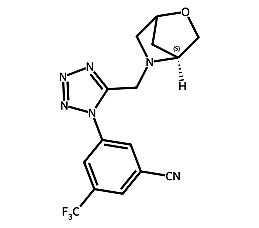 N#Cc1cc(-n2nnnc2CN2CC3C[C@H]2CO3)cc(C(F)(F)F)c1